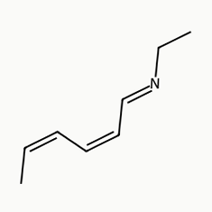 C\C=C/C=C\C=N\CC